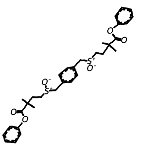 CC(C)(CC[S+]([O-])Cc1ccc(C[S+]([O-])CCC(C)(C)C(=O)Oc2ccccc2)cc1)C(=O)Oc1ccccc1